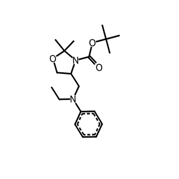 CCN(CC1COC(C)(C)N1C(=O)OC(C)(C)C)c1ccccc1